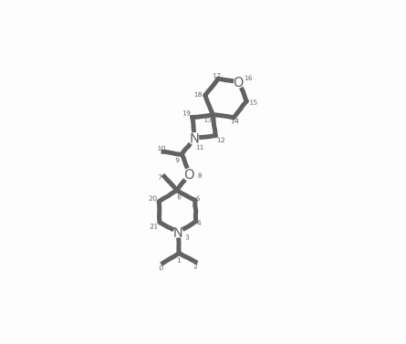 CC(C)N1CCC(C)(OC(C)N2CC3(CCOCC3)C2)CC1